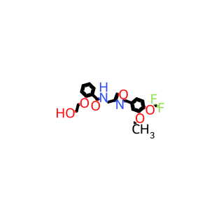 CCOc1cc(-c2nc(CNC(=O)c3ccccc3OCCO)co2)ccc1OC(F)F